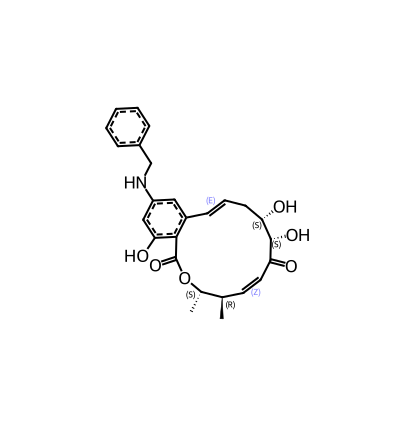 C[C@@H]1/C=C\C(=O)[C@@H](O)[C@@H](O)C/C=C/c2cc(NCc3ccccc3)cc(O)c2C(=O)O[C@H]1C